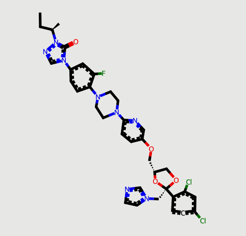 CC[C@@H](C)n1ncn(-c2ccc(N3CCN(c4ccc(OC[C@@H]5CO[C@@](Cn6ccnc6)(c6ccc(Cl)cc6Cl)O5)cn4)CC3)c(F)c2)c1=O